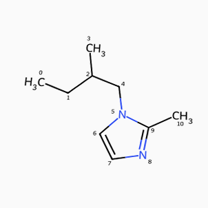 CCC(C)Cn1ccnc1C